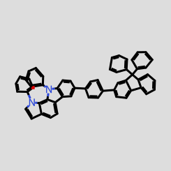 c1ccc(-n2ccc3ccc4c5cc(-c6ccc(-c7ccc8c(c7)C(c7ccccc7)(c7ccccc7)c7ccccc7-8)cc6)ccc5n(-c5ccccc5)c4c32)cc1